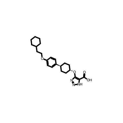 O=C(O)c1[nH]nnc1O[C@H]1CC[C@H](c2ccc(OCCC3CCCCC3)cc2)CC1